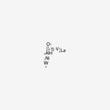 [La].[Ni].[O]=[AlH].[Ti].[V].[W]